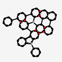 c1ccc(-c2ccc(-c3ccccc3N(c3ccccc3-c3cccc4cccc(-c5ccccc5)c34)c3ccccc3-c3cccc4c3c3ccccc3n4-c3ccccc3)cc2)cc1